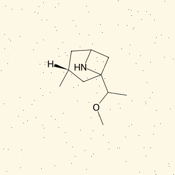 COC(C)C12CC(C[C@@H](C)C1)N2